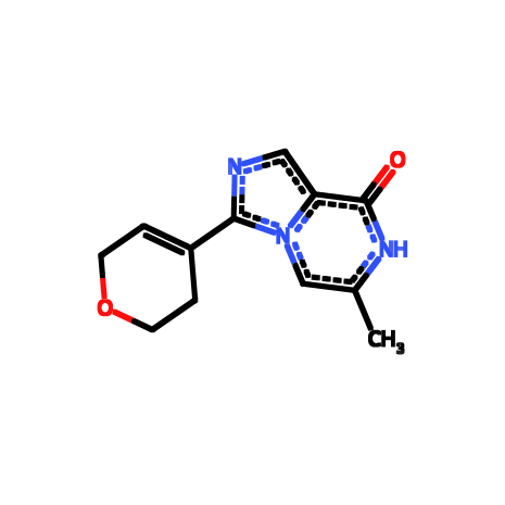 Cc1cn2c(C3=CCOCC3)ncc2c(=O)[nH]1